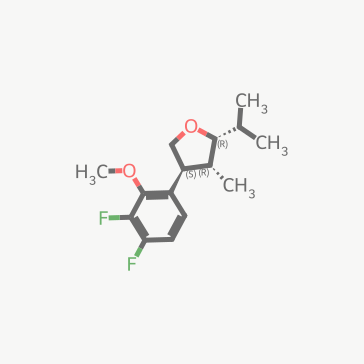 COc1c([C@H]2CO[C@H](C(C)C)[C@@H]2C)ccc(F)c1F